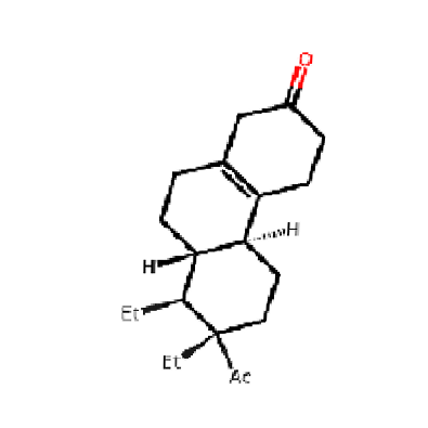 CC[C@H]1[C@@H]2CCC3=C(CCC(=O)C3)[C@H]2CC[C@]1(CC)C(C)=O